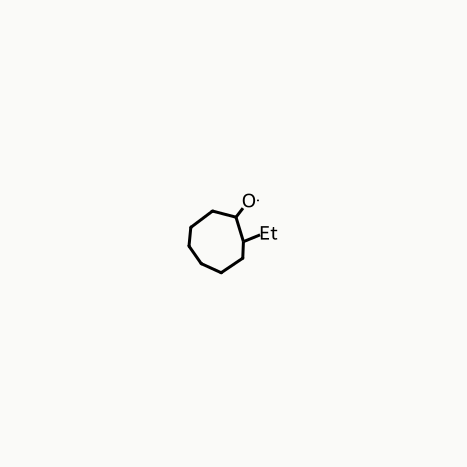 CCC1CCCCCCC1[O]